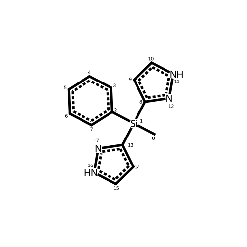 C[Si](c1ccccc1)(c1cc[nH]n1)c1cc[nH]n1